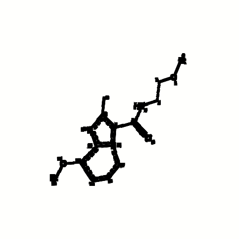 CCOCCNC(=O)c1c(C)nc2c(OCC)cccn12